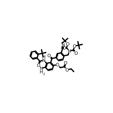 CCOC(=O)COc1ccc(N)c(NC(=O)c2ccccc2C(C)(C)C)c1C(=O)c1ccc(CN(C(=O)OC(C)(C)C)C(=O)OC(C)(C)C)c(C#N)c1